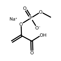 C=C(OP(=O)([O-])OC)C(=O)O.[Na+]